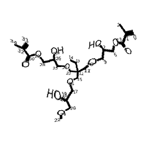 C=C(C)C(=O)OCC(O)COCC(CC)(COCC(O)COC)COCC(O)COC(=O)C(=C)C